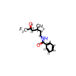 CC(CCNC(=O)c1ccccc1)CC(=O)C(F)(F)F